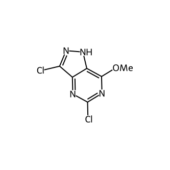 COc1nc(Cl)nc2c(Cl)n[nH]c12